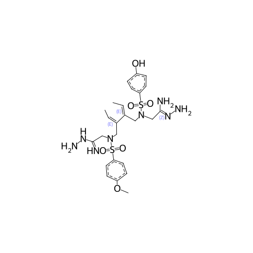 C/C=C(CN(CC(=N)NN)S(=O)(=O)c1ccc(OC)cc1)\C(=C/C)CN(C/C(N)=N/N)S(=O)(=O)c1ccc(O)cc1